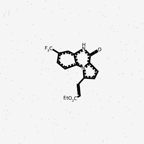 CCOC(=O)/C=C/c1ccc2c(=O)[nH]c3cc(C(F)(F)F)ccc3n12